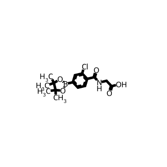 CC1(C)OB(c2ccc(C(=O)NCC(=O)O)c(Cl)c2)OC1(C)C